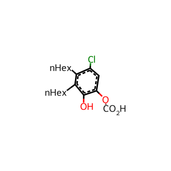 CCCCCCc1c(Cl)cc(OC(=O)O)c(O)c1CCCCCC